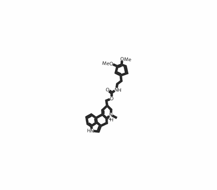 COc1ccc(CCNC(=O)OCC2C=C3c4cccc5[nH]cc(c45)C[C@@H]3N(C)C2)cc1OC